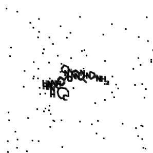 Cc1cn2nc([C@@H]3CCCCN3C(=O)c3ccc(C4(C5CCCCCCCC5)NNNN4)cc3)cc2nc1N1CC[C@H](N)C1